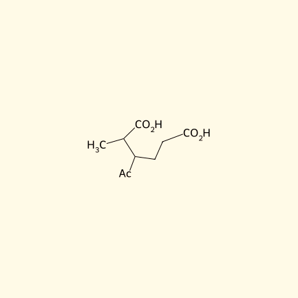 CC(=O)C(CCC(=O)O)C(C)C(=O)O